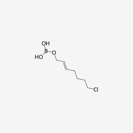 OB(O)OCC=CCCCCCl